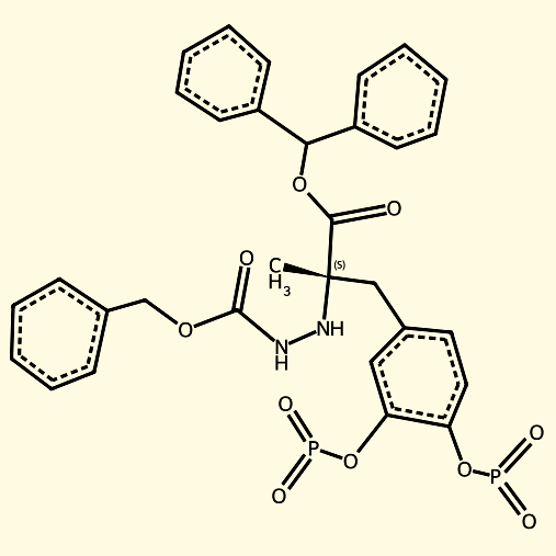 C[C@@](Cc1ccc(OP(=O)=O)c(OP(=O)=O)c1)(NNC(=O)OCc1ccccc1)C(=O)OC(c1ccccc1)c1ccccc1